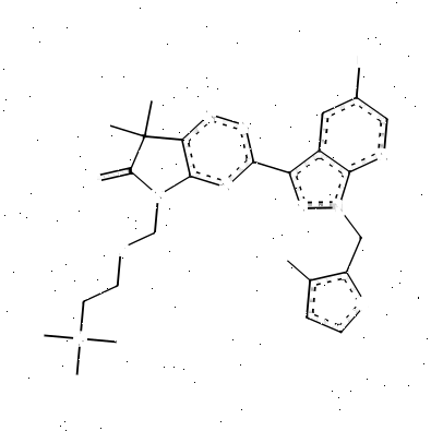 CC1(C)C(=O)N(COCC[Si](C)(C)C)c2nc(-c3nn(Cc4sccc4F)c4ncc(F)cc34)nnc21